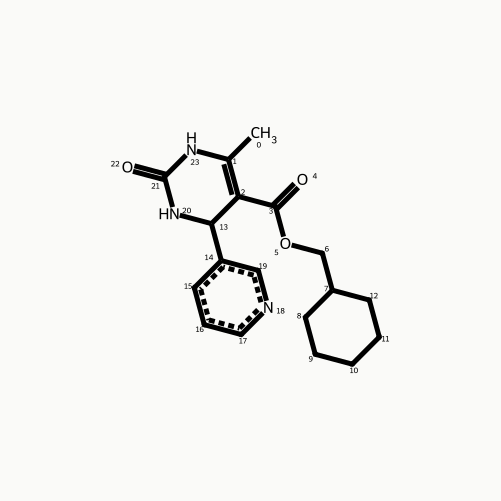 CC1=C(C(=O)OCC2CCCCC2)C(c2cccnc2)NC(=O)N1